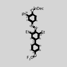 CCCCCCCCCCOc1ccc(/N=N/c2c(CC)cc(-c3ccc(OC(F)(F)F)cc3)cc2CC)cc1C(C)C